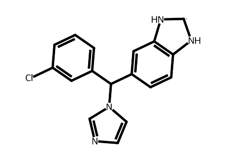 Clc1cccc(C(c2ccc3c(c2)N[CH]N3)n2ccnc2)c1